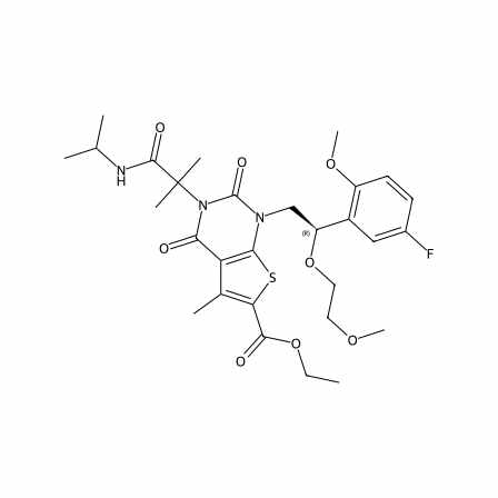 CCOC(=O)c1sc2c(c1C)c(=O)n(C(C)(C)C(=O)NC(C)C)c(=O)n2C[C@H](OCCOC)c1cc(F)ccc1OC